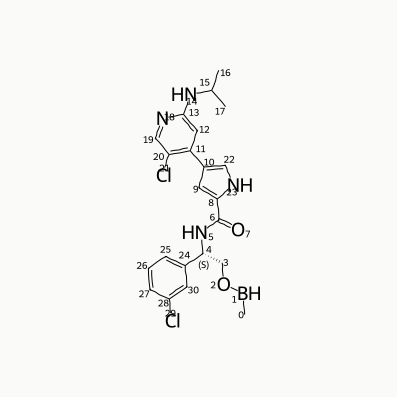 CBOC[C@@H](NC(=O)c1cc(-c2cc(NC(C)C)ncc2Cl)c[nH]1)c1cccc(Cl)c1